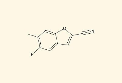 Cc1cc2oc(C#N)cc2cc1F